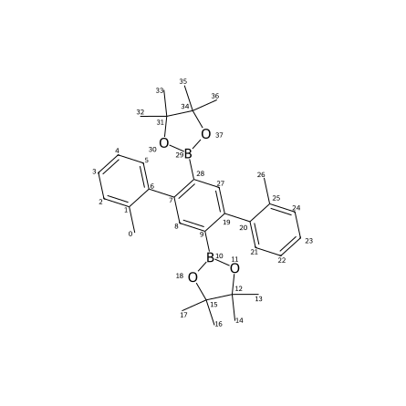 Cc1ccccc1-c1cc(B2OC(C)(C)C(C)(C)O2)c(-c2ccccc2C)cc1B1OC(C)(C)C(C)(C)O1